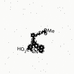 COC(=O)CCOCCCN1CCCC1COc1nc2c(c(N3CCN(C(=O)O)C(CC#N)C3)n1)CCN(c1cccc3cccc(Cl)c13)C2